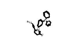 Fc1ccc(C#[C][Au])nc1.c1ccc(P(c2ccccc2)c2ccccc2)cc1